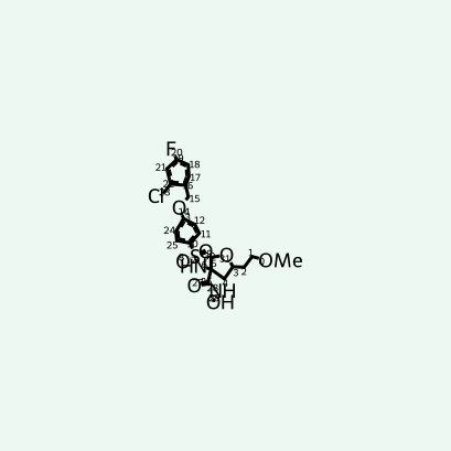 COCCC1CC(NS(=O)(=O)c2ccc(OCc3ccc(F)cc3Cl)cc2)(C(=O)NO)CO1